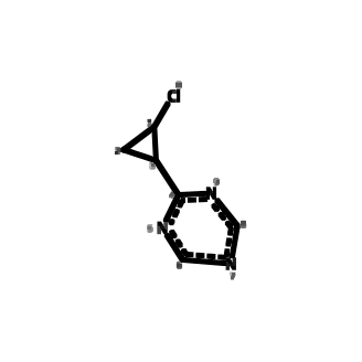 ClC1CC1c1ncncn1